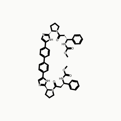 COC(=O)N[C@H](CC(=O)N1CCC[C@H]1c1ncc(-c2ccc(-c3ccc(-c4cnc([C@@H]5CCCN5C(=O)C[C@@H](NC(=O)OC)c5ccccc5)[nH]4)cc3)cc2)[nH]1)c1ccccc1